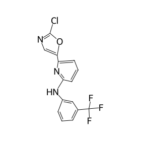 FC(F)(F)c1cccc(Nc2cccc(-c3cnc(Cl)o3)n2)c1